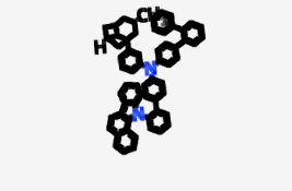 C[C@H]1CC2C[C@H]3CC(c4cccc(N(c5ccc(-c6ccccc6-c6ccccc6)cc5)c5ccc(-c6ccccc6-n6c7ccccc7c7ccc8ccccc8c76)cc5)c4)(C1)C23